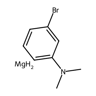 CN(C)c1cccc(Br)c1.[MgH2]